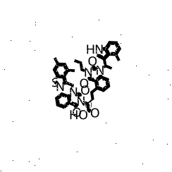 CCCn1c(=O)c2c(CC[C@@H](C(=O)O)n3c(=O)c4ccccc4n(Cc4nsc5cc(C)cc(C)c45)c3=O)cccc2n(C(C)c2c[nH]c3cccc(C)c23)c1=O